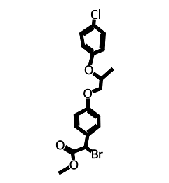 COC(=O)C(Br)c1ccc(OCC(C)Oc2ccc(Cl)cc2)cc1